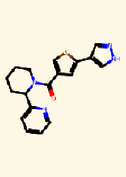 O=C(c1csc(-c2cn[nH]c2)c1)N1CCCCC1c1ccccn1